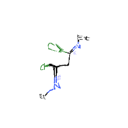 CC/N=C(\Cl)C/C(Cl)=N/CC